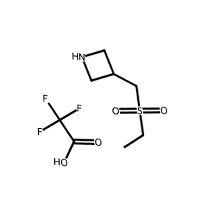 CCS(=O)(=O)CC1CNC1.O=C(O)C(F)(F)F